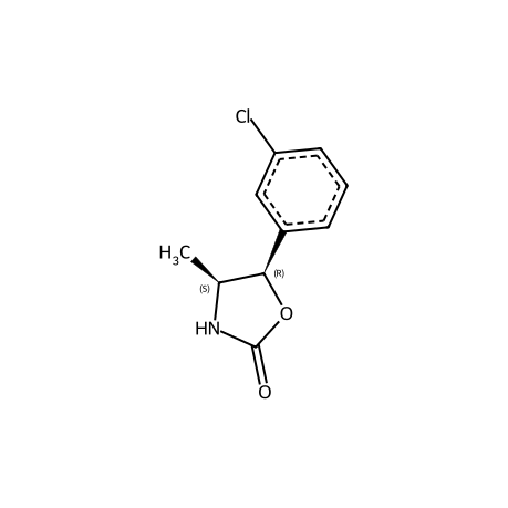 C[C@@H]1NC(=O)O[C@@H]1c1cccc(Cl)c1